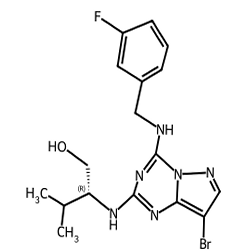 CC(C)[C@H](CO)Nc1nc(NCc2cccc(F)c2)n2ncc(Br)c2n1